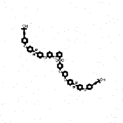 CC(C)(O)C#Cc1ccc(Oc2ccc(S(=O)(=O)c3ccc(Oc4cccc(Oc5ccc(S(=O)(=O)c6ccccc6Oc6cccc(Oc7ccc(S(=O)(=O)c8ccc(Oc9ccc(C#CC(C)(C)O)cc9)cc8)cc7)c6)cc5)c4)cc3)cc2)cc1